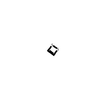 [c]1css1